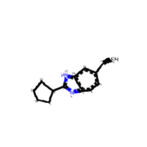 C#Cc1ccc2nc(C3CCCC3)[nH]c2c1